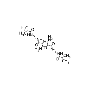 CC(C)C(=O)NCCNC(=O)c1nc(N)c(C(=O)NCCNC(=O)C(C)C)nc1N